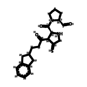 O=C[C@@H]1CCCN1C(=O)[C@H]1NCC(=S)C1C(=O)CCC1Cc2ccccc2C1